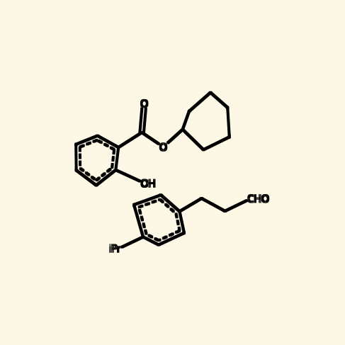 CC(C)c1ccc(CCC=O)cc1.O=C(OC1CCCCC1)c1ccccc1O